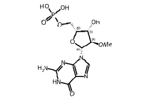 CO[C@@H]1[C@@H](O)[C@@H](COP(=O)(O)O)O[C@H]1n1cnc2c(=O)[nH]c(N)nc21